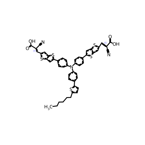 CCCCCCc1ccc(-c2ccc(N(c3ccc(-c4cc5sc(/C=C(\C#N)C(=O)O)cc5s4)cc3)c3ccc(-c4cc5sc(/C=C(\C#N)C(=O)O)cc5s4)cc3)cc2)s1